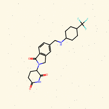 O=C1CCC(N2Cc3cc(CNC4CCC(C(F)(F)F)CC4)ccc3C2=O)C(=O)N1